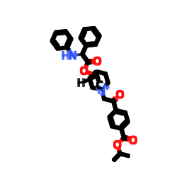 CC(C)OC(=O)c1ccc(C(=O)C[N+]23CCC(CC2)[C@@H](OC(=O)[C@H](Nc2ccccc2)c2ccccc2)C3)cc1